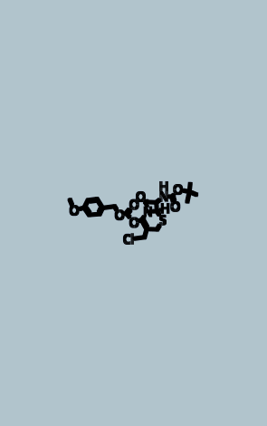 COc1ccc(COC(=O)OC2=C(CCl)CS[C@H]3C(NC(=O)OC(C)(C)C)C(=O)N23)cc1